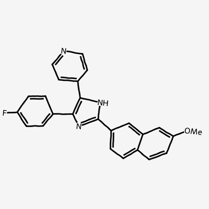 COc1ccc2ccc(-c3nc(-c4ccc(F)cc4)c(-c4ccncc4)[nH]3)cc2c1